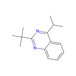 CC(C)c1nc(C(C)(C)C)nc2ccccc12